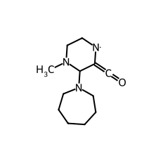 CN1CC[N]C(=C=O)C1N1CCCCCC1